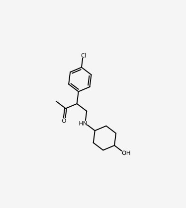 CC(=O)C(CNC1CCC(O)CC1)c1ccc(Cl)cc1